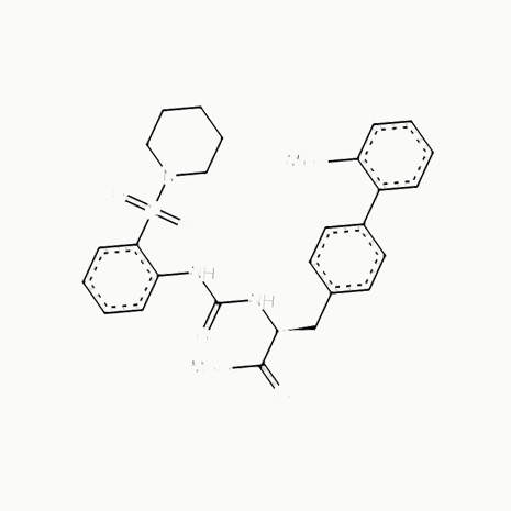 COC(=O)[C@H](Cc1ccc(-c2ccccc2OC)cc1)NC(=O)Nc1ccccc1S(=O)(=O)N1CCCCC1